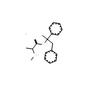 CNC(C)C(=O)NC(C)(Cc1ccccc1)c1ccccc1.Cl